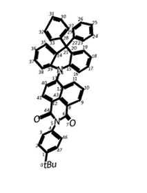 CC(C)(C)c1ccc(N2C(=O)c3cccc4c(N5c6ccccc6C(c6ccccc6)(c6ccccc6)c6ccccc65)ccc(c34)C2=O)cc1